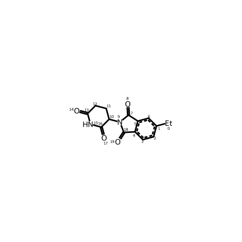 CCc1ccc2c(c1)C(=O)N(C1CCC(=O)NC1=O)C2=O